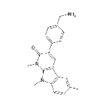 Cc1ccc2c(c1)c1cc(-c3ccc(CN)cc3)c(=O)n(C)c1n2C